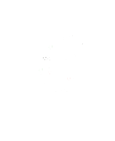 [Cl][Mg][Cl].[c]1ccc(C2OCCCO2)cc1